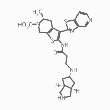 C[C@H]1Cc2c(sc(NC(=O)CCN[C@@H]3C[C@H]4CNC[C@H]4C3)c2-c2nc3cnccc3s2)CN1C(=O)O